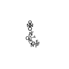 CC(c1ccc2c(c1)n(C)c(=O)n2C)N1CCC(CC2CC2)(C(=O)N2CCc3ncc(C(F)(F)F)cc3C2)C1